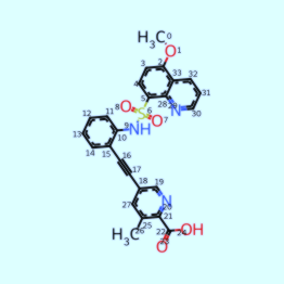 COc1ccc(S(=O)(=O)Nc2ccccc2C#Cc2cnc(C(=O)O)c(C)c2)c2ncccc12